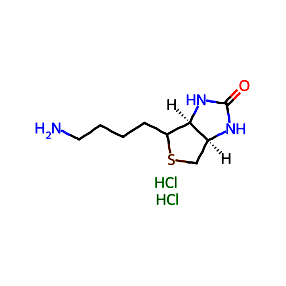 Cl.Cl.NCCCCC1SC[C@@H]2NC(=O)N[C@H]12